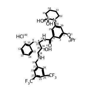 CC(C)Oc1cc(C(=O)N[C@@H](Cc2ccccc2)[C@H](O)CNCc2cc(C(F)(F)F)cc(C(F)(F)F)c2)cc(N2CCCCS2(O)O)c1.Cl